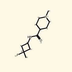 CN1CCC(C(=O)NC2CC(C)(F)C2)CC1